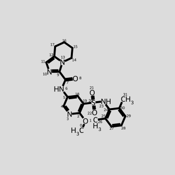 COc1ncc(NC(=O)c2ncc3n2CCCC3)cc1S(=O)(=O)Nc1c(C)cccc1C